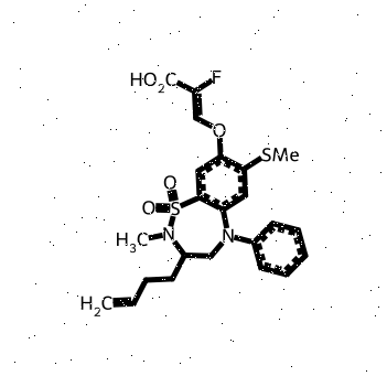 C=CCCC1CN(c2ccccc2)c2cc(SC)c(OC=C(F)C(=O)O)cc2S(=O)(=O)N1C